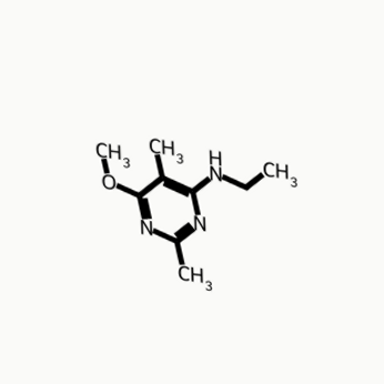 CCNc1nc(C)nc(OC)c1C